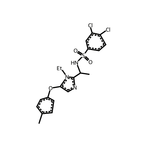 CCn1c(Oc2ccc(C)cc2)cnc1C(C)NS(=O)(=O)c1ccc(Cl)c(Cl)c1